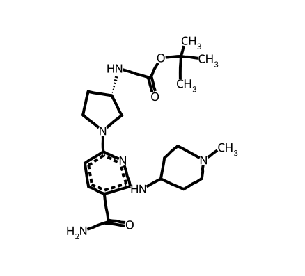 CN1CCC(Nc2nc(N3CC[C@H](NC(=O)OC(C)(C)C)C3)ccc2C(N)=O)CC1